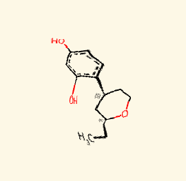 CC[C@H]1C[C@@H](c2ccc(O)cc2O)CCO1